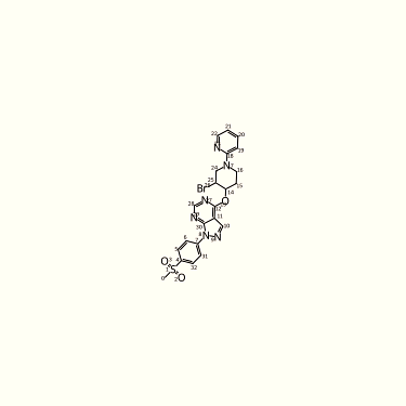 CS(=O)(=O)c1ccc(-n2ncc3c(OC4CCN(c5ccccn5)CC4Br)ncnc32)cc1